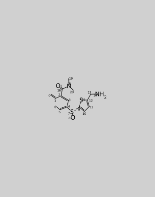 C=C/C(=C\C(=C/C)[S+]([O-])c1ccc(CN)s1)C(=O)N(C)C